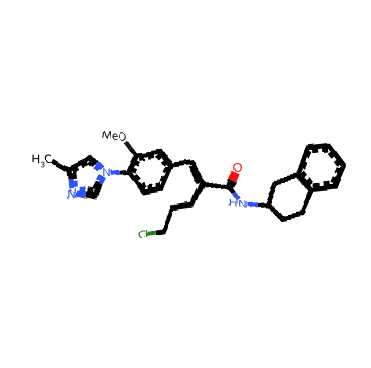 COc1cc(/C=C(\CCCCl)C(=O)NC2CCc3ccccc3C2)ccc1-n1cnc(C)c1